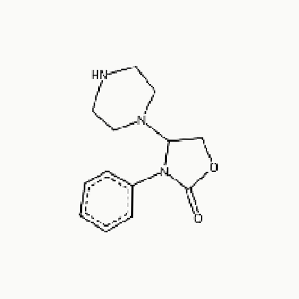 O=C1OCC(N2CCNCC2)N1c1ccccc1